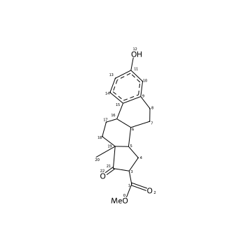 COC(=O)C1CC2C3CCc4cc(O)ccc4C3CCC2(C)C1=O